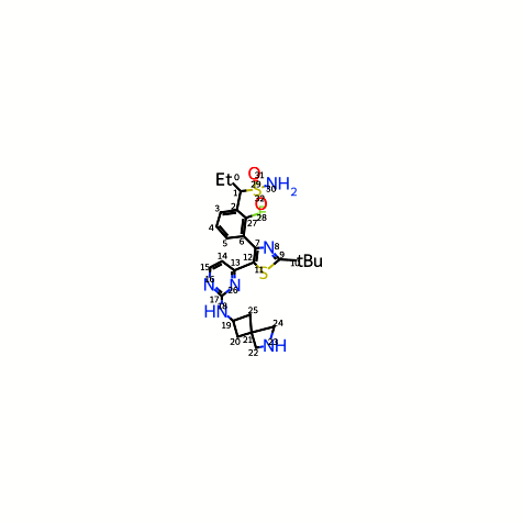 CCC(c1cccc(-c2nc(C(C)(C)C)sc2-c2ccnc(NC3CC4(CNC4)C3)n2)c1F)S(N)(=O)=O